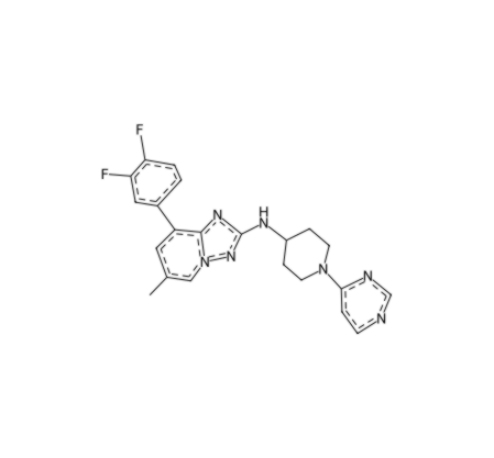 Cc1cc(-c2ccc(F)c(F)c2)c2nc(NC3CCN(c4ccncn4)CC3)nn2c1